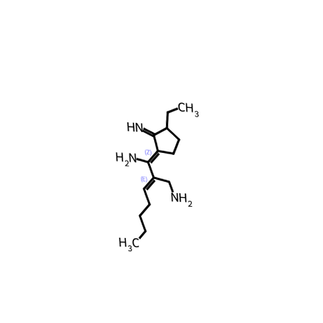 CCCC/C=C(CN)/C(N)=C1\CCC(CC)C1=N